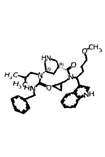 COCCCC(c1c[nH]c2ccccc12)N(C(=O)[C@H]1CNC[C@@H](N(CC(C)C)C(=O)NCc2ccccc2)C1)C1CC1